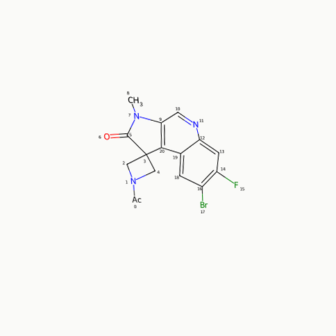 CC(=O)N1CC2(C1)C(=O)N(C)c1cnc3cc(F)c(Br)cc3c12